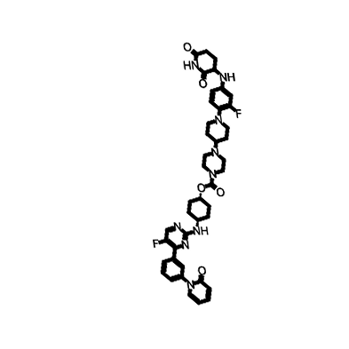 O=C1CCC(Nc2ccc(N3CCC(N4CCN(C(=O)O[C@H]5CC[C@H](Nc6ncc(F)c(-c7cccc(-n8ccccc8=O)c7)n6)CC5)CC4)CC3)c(F)c2)C(=O)N1